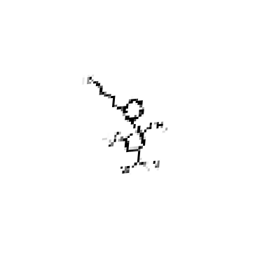 CC1=CC(=C(C#N)C#N)C=C(C)N1c1cccc(CCCCS)c1